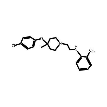 CC1(Oc2ccc(Cl)cc2)CCN(CCNc2ccccc2C(F)(F)F)CC1